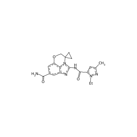 CCn1nc(C)cc1C(=O)Nc1nc2cc(C(N)=O)cc3c2n1C1(CC1)CO3